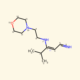 CC(C)/C(=C/C=N)NCCN1CCOCC1